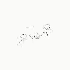 Cl.O=C1COc2ccc(CNC34CCC(CCN5C(=O)COc6cccnc65)(CC3)OC4)nc2N1